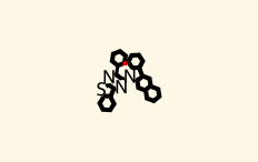 c1ccc(-c2nc3sc4ccccc4c3nc2-n2c3ccccc3c3cc4ccccc4cc32)cc1